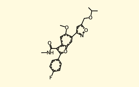 CNC(=O)c1c(-c2ccc(F)cc2)oc2cc(-c3cc(COC(C)C)on3)c(OC)cc12